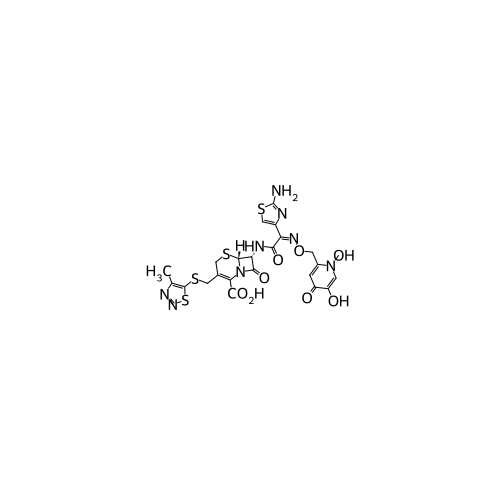 Cc1nnsc1SCC1=C(C(=O)O)N2C(=O)[C@@H](NC(=O)/C(=N\OCc3cc(=O)c(O)cn3O)c3csc(N)n3)[C@H]2SC1